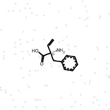 C=C[C@@](N)(Cc1ccccc1)C(=O)O